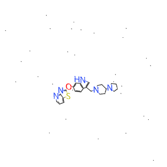 c1cnc2nc(Oc3ccc4c(CN5CCC(N6CCCC6)CC5)c[nH]c4c3)sc2c1